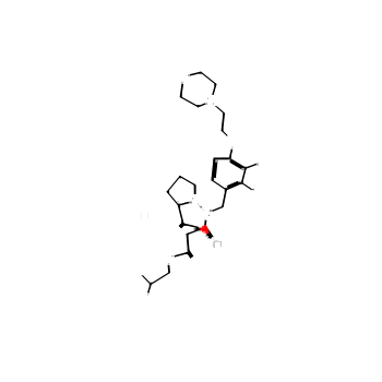 COC(=O)[C@@]1(C)CCCN1N(Cc1ccc(OCCN2CCOCC2)c(F)c1F)C(=O)CC(=O)OCC(C)C